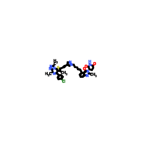 Cc1c(C#Cc2cnn(CCC/C=C/c3cccc4nc(C)n(C5CCC(=O)NC5=O)c(=O)c34)c2)sc2c1C(c1ccc(Cl)cc1)=N[C@@H](C)c1nnc(C)n1-2